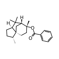 C[C@@H]1CC[C@H]2C(C)(C)[C@H]3C[C@@]12CC[C@@]3(C)OC(=O)c1ccccc1